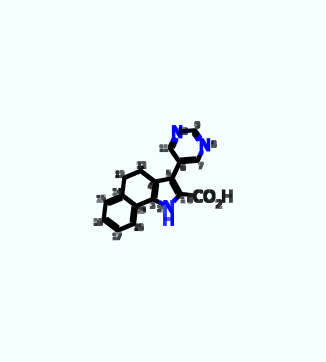 O=C(O)c1[nH]c2c(c1-c1cncnc1)CCc1ccccc1-2